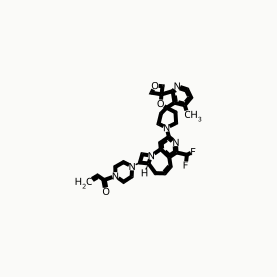 C=CC(=O)N1CCN([C@@H]2CN3c4cc(N5CCC6(CC5)OC5(COC5)c5nccc(C)c56)nc(C(F)F)c4C=CC[C@@H]23)CC1